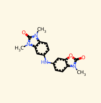 Cn1c(=O)oc2cc(Nc3ccc4c(c3)n(C)c(=O)n4C)ccc21